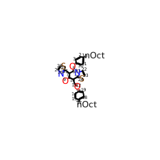 CCCCCCCCc1ccc(OCC(C(=O)C(COc2ccc(CCCCCCCC)cc2)c2nccs2)c2nccs2)cc1